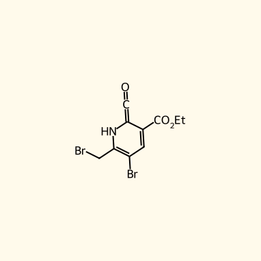 CCOC(=O)C1=CC(Br)=C(CBr)NC1=C=O